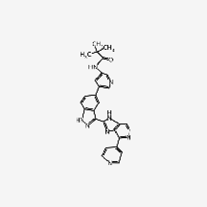 CC(C)(C)C(=O)Nc1cncc(-c2ccc3[nH]nc(-c4nc5c(-c6ccncc6)nccc5[nH]4)c3c2)c1